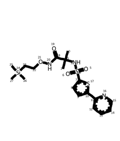 CC(C)(NS(=O)(=O)c1ccc(-c2ccccn2)s1)C(=O)NOCC[Si](C)(C)C